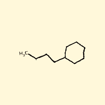 C[CH]CCC1CCCCC1